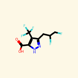 O=C(O)c1[nH]nc(CC(F)CF)c1C(F)(F)F